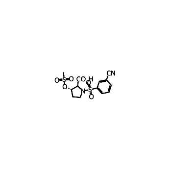 CS(=O)(=O)O[C@H]1CCN(S(=O)(=O)c2cccc(C#N)c2)C1C(=O)O